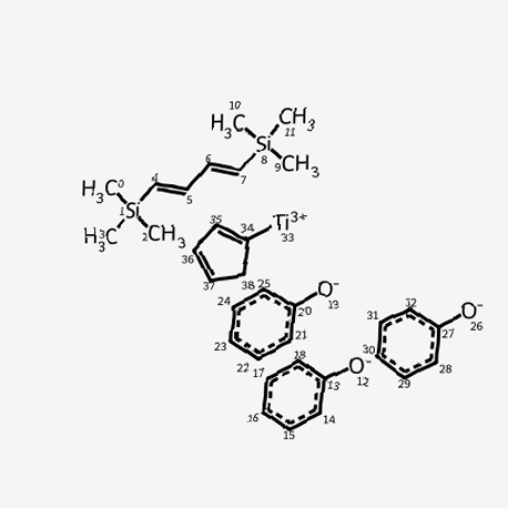 C[Si](C)(C)C=CC=C[Si](C)(C)C.[O-]c1ccccc1.[O-]c1ccccc1.[O-]c1ccccc1.[Ti+3][C]1=CC=CC1